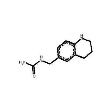 NC(=O)NCc1ccc2c(c1)CCCN2